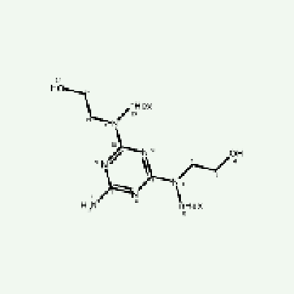 CCCCCCN(CCO)c1nc(N)nc(N(CCO)CCCCCC)n1